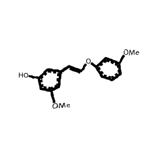 COc1cc(O)cc(/C=C/Oc2cccc(OC)c2)c1